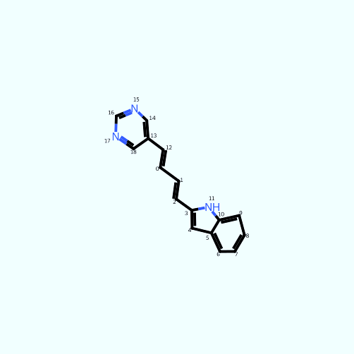 C(/C=C/c1cc2ccccc2[nH]1)=C\c1cncnc1